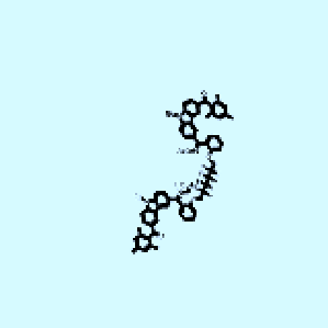 CCn1c2ccc(C(=O)c3c(C)cc(C)cc3C)cc2c2cc(C(=NCC(=O)O)c3ccccc3OCC(F)(F)C(F)(F)C(F)(F)C(F)(F)COc3ccccc3C(=NOC(C)=O)c3ccc4c(c3)c3cc(C(=O)c5c(C)cc(C)cc5C)ccc3n4CC)ccc21